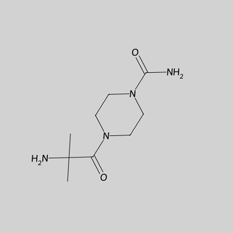 CC(C)(N)C(=O)N1CCN(C(N)=O)CC1